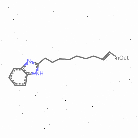 CCCCCCCCC=CCCCCCCCc1nc2ccccc2[nH]1